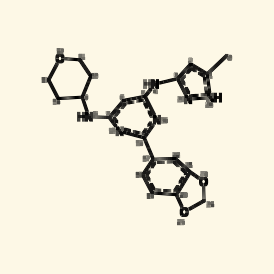 Cc1cc(Nc2cc(NC3CCOCC3)nc(-c3ccc4c(c3)OCO4)n2)n[nH]1